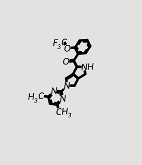 Cc1cc(C)nc(N2C=C3C(CNC3C(=O)c3ccccc3OC(F)(F)F)C2)n1